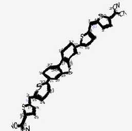 N#CC(C#N)=c1cc/c(=C\c2ccc(-c3ccc4c(c3)sc3cc(-c5ccc(/C=c6\ccc(=C(C#N)C#N)s6)s5)ccc34)s2)s1